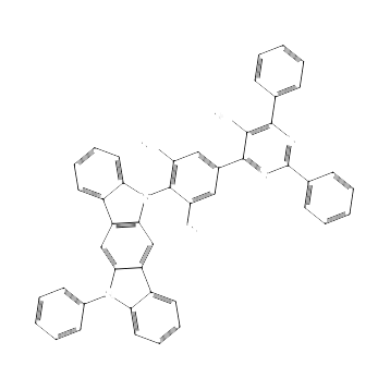 N#Cc1cc(-c2nc(-c3ccccc3)nc(-c3ccccc3)c2C#N)cc(C#N)c1-n1c2ccccc2c2cc3c(cc21)c1ccccc1n3-c1ccccc1